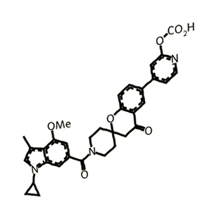 COc1cc(C(=O)N2CCC3(CC2)CC(=O)c2cc(-c4ccnc(OC(=O)O)c4)ccc2O3)cc2c1c(C)cn2C1CC1